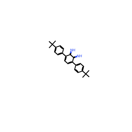 CC(C)(C)c1ccc(C2=CC=C(c3ccc(C(C)(C)C)cc3)C(=N)C2=N)cc1